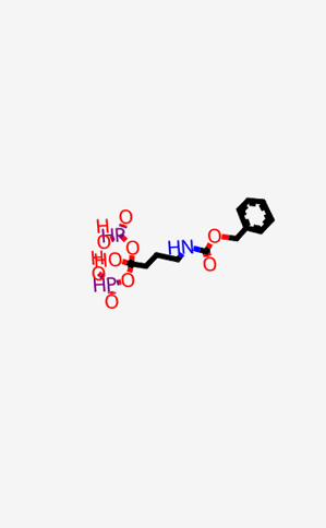 O=C(NCCCC(O)(O[PH](=O)O)O[PH](=O)O)OCc1ccccc1